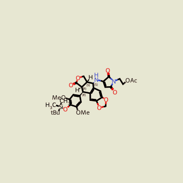 COc1cc([C@@H]2c3cc4c(cc3[C@@H](NC3=CC(=O)N(CCOC(C)=O)C3=O)[C@H]3COC(=O)[C@H]23)OCO4)cc(OC)c1O[Si](C)(C)C(C)(C)C